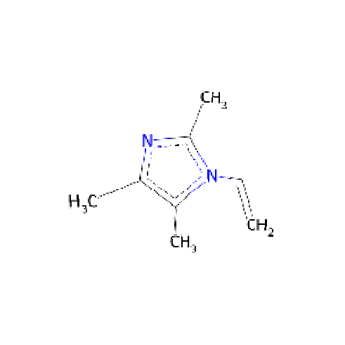 C=Cn1c(C)nc(C)c1C